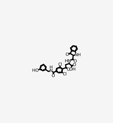 O=C(NCc1cccc(O)c1)c1cc(Cl)c(C(=O)CC(NC(=O)C2Nc3ccccc3C2=O)C(=O)O)c(Cl)c1